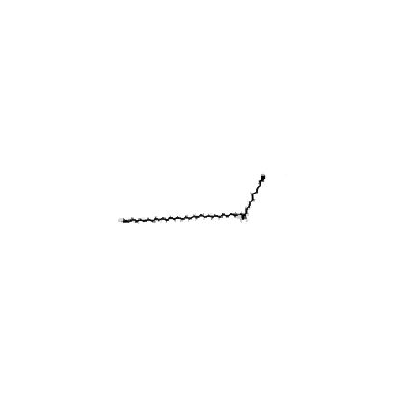 CCCCCCCCC=CCCCCCCCCCC(=O)OCCCCCCCCCCCCCCCCCCCCCCCCCCCCCCO